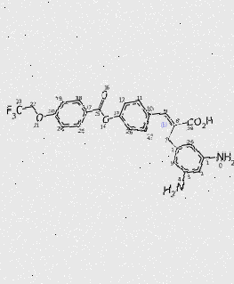 Nc1cc(N)cc(C/C(=C\c2ccc(OC(=O)c3ccc(OCC(F)(F)F)cc3)cc2)C(=O)O)c1